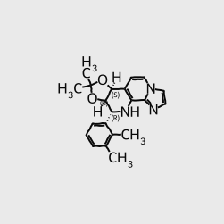 Cc1cccc([C@H]2Nc3c(ccn4ccnc34)[C@@H]3OC(C)(C)O[C@H]23)c1C